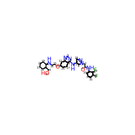 O=C(Cn1cc(Nc2ncnc3cc(OCCNC4CCCCC4CO)ccc23)cn1)Nc1cccc(F)c1F